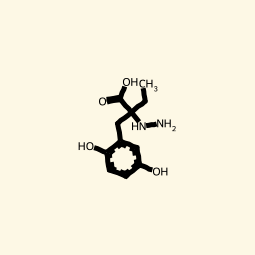 CCC(Cc1cc(O)ccc1O)(NN)C(=O)O